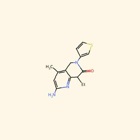 CCC1C(=O)N(c2ccsc2)Cc2c(C)cc(N)nc21